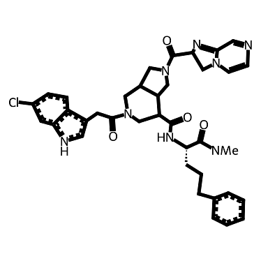 CNC(=O)[C@H](CCCc1ccccc1)NC(=O)C1CN(C(=O)Cc2c[nH]c3cc(Cl)ccc23)CC2CN(C(=O)C3CN4C=CN=CC4=N3)CC21